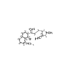 OC(CCC1C[C@@H](O)C[C@H]1O)c1ccc2cccc(C(F)(F)F)c2c1F